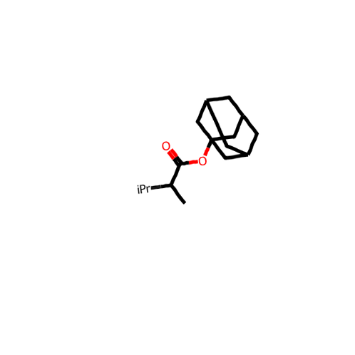 CC(C)C(C)C(=O)OC12CC3CC(CC(C3)C1)C2